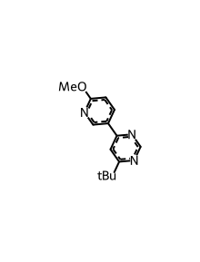 COc1ccc(-c2cc(C(C)(C)C)ncn2)cn1